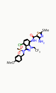 COc1ccc(CN(c2nn(CC(F)(F)F)c3c(NC(=O)c4sc(SC)nc4N)ccc(Cl)c23)S(C)(=O)=O)cc1